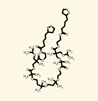 CC(C)OCC(C)(COC(=O)C(C)(C)OCCC(C)(C)OCCC(C)(C)OCCOC(=O)C(C)(C)OCC(C)(COC(C)C)C(=O)OCCOC(=O)CCCCC1CCSS1)C(=O)OCCOC(=O)CCCCC1CCSS1